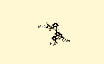 COCc1cc2cc(COc3cc(F)ccc3CC(=O)OC(C)COC)cc(-c3cccc(CN)c3F)c2o1